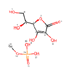 O=C1O[C@H]([C@@H](O)CO)C(O)=C1O.[2H]OP(=O)(O)O